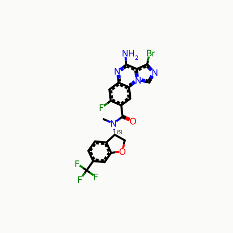 CN(C(=O)c1cc2c(cc1F)nc(N)c1c(Br)ncn12)[C@@H]1COc2cc(C(F)(F)F)ccc21